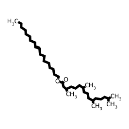 CCCCCCCCC=CCCCCCCCCOC(=O)CC(C)CCCC(C)CCCC(C)CCCC(C)C